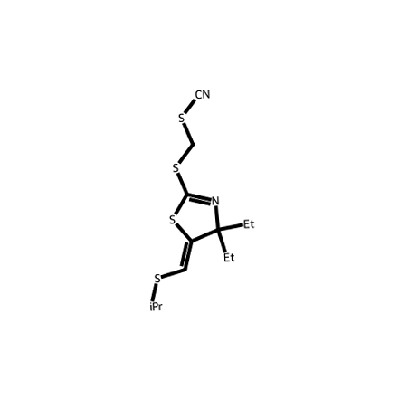 CCC1(CC)N=C(SCSC#N)SC1=CSC(C)C